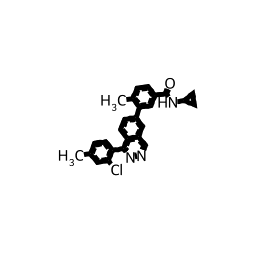 Cc1ccc(-c2nncc3cc(-c4cc(C(=O)NC5CC5)ccc4C)ccc23)c(Cl)c1